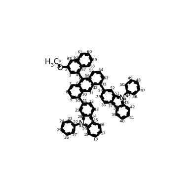 COc1cc(-c2c3cccc(-c4ccc5c6ccccc6n(-c6ccccc6)c5c4)c3cc3c(-c4ccc5c6ccccc6n(-c6ccccc6)c5c4)cccc23)c2ccccc2c1